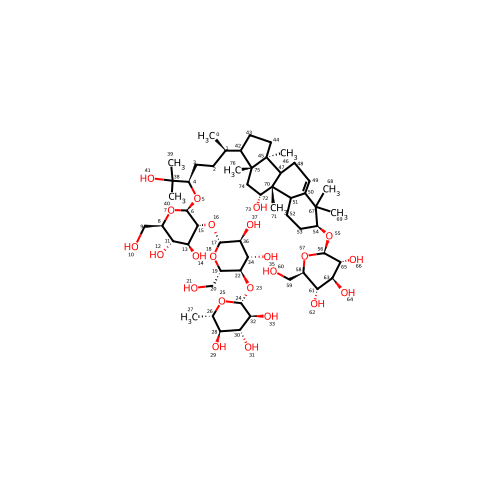 C[C@H](CC[C@@H](O[C@@H]1O[C@H](CO)[C@@H](O)[C@H](O)[C@H]1O[C@H]1O[C@@H](CO)[C@H](O[C@H]2O[C@@H](C)[C@H](O)[C@@H](O)[C@@H]2O)[C@@H](O)[C@@H]1O)C(C)(C)O)C1CC[C@@]2(C)C3CC=C4C(CC[C@H](O[C@@H]5O[C@H](CO)[C@@H](O)[C@H](O)[C@H]5O)C4(C)C)[C@]3(C)[C@H](O)C[C@]12C